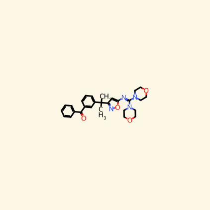 CC(C)(c1cccc(C(=O)c2ccccc2)c1)c1cc(N=C(N2CCOCC2)N2CCOCC2)on1